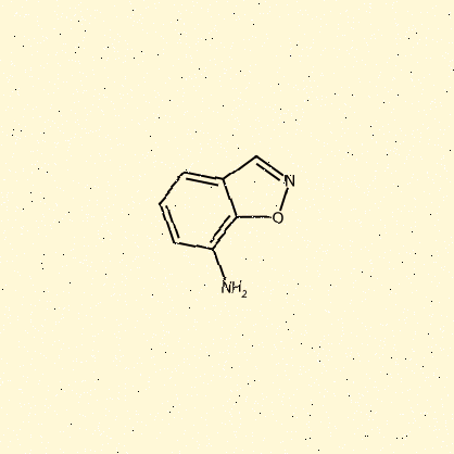 Nc1cccc2cnoc12